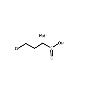 O=S(O)CCCCl.[NaH]